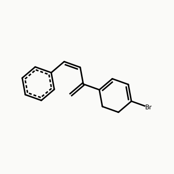 C=C(/C=C\c1ccccc1)C1=CC=C(Br)CC1